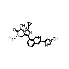 CC1C(=O)N(C)Cc2c(-c3cccc4cc(-c5cn(C)cn5)ncc34)nc(C3CC3)n21